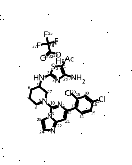 CC(=O)c1sc(NC2CCCN(c3nc(-c4ccc(Cl)cc4Cl)cc4nccn34)C2)nc1N.O=C(O)C(F)(F)F